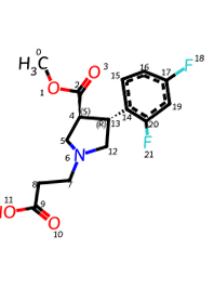 COC(=O)[C@@H]1CN(CCC(=O)O)C[C@H]1c1ccc(F)cc1F